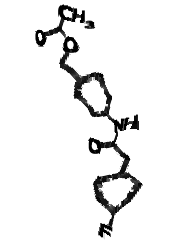 CC(=O)OCc1ccc(NC(=O)Cc2ccc(F)cc2)cc1